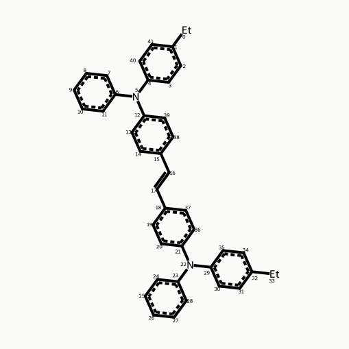 CCc1ccc(N(c2ccccc2)c2ccc(/C=C/c3ccc(N(c4ccccc4)c4ccc(CC)cc4)cc3)cc2)cc1